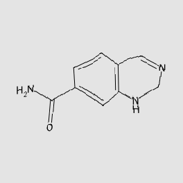 NC(=O)c1ccc2c(c1)NCN=C2